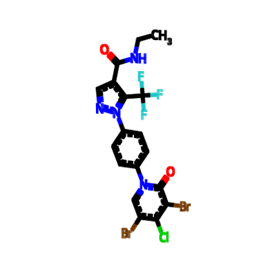 CCNC(=O)c1cnn(-c2ccc(-n3cc(Br)c(Cl)c(Br)c3=O)cc2)c1C(F)(F)F